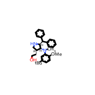 COc1ccc(C(C)(C)C)cc1N(C)[C@H]1[C@H](CCO)CN[C@H]1C(c1ccccc1)c1ccccc1